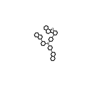 c1cc(-c2ccc3ccccc3c2)cc(N(c2ccc(-c3ccc4ccccc4c3)cc2)c2ccc(-c3cccc4oc5c6ccccc6ccc5c34)cc2)c1